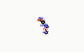 CN1CCC[C@@H]1C(=O)Oc1ncnc(Nc2cccc(CS(N)(=O)=O)c2)n1